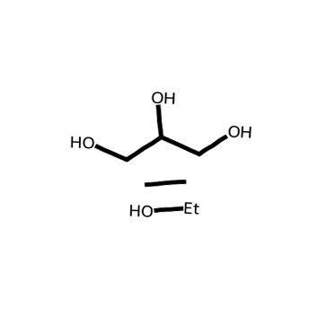 CC.CCO.OCC(O)CO